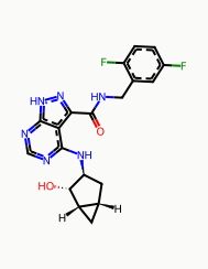 O=C(NCc1cc(F)ccc1F)c1n[nH]c2ncnc(N[C@H]3C[C@@H]4C[C@@H]4[C@@H]3O)c12